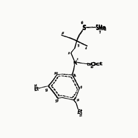 CCCCCCCCN(CC(C)(C)SSC)c1cc(CC)cc(CC)c1